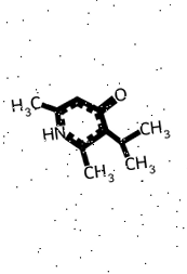 Cc1cc(=O)c(C(C)C)c(C)[nH]1